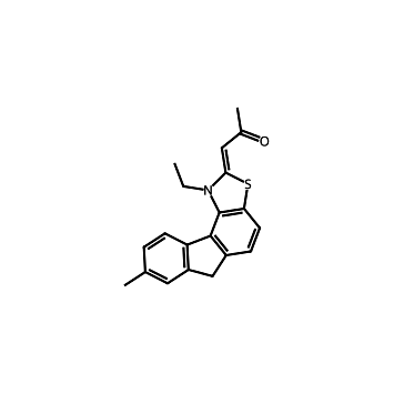 CCN1/C(=C/C(C)=O)Sc2ccc3c(c21)-c1ccc(C)cc1C3